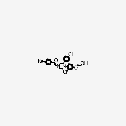 N#Cc1ccc(C(=O)CN2CCN(c3ccc(OCCO)cc3Cl)[C@H](c3ccc(Cl)cc3)C2)cc1